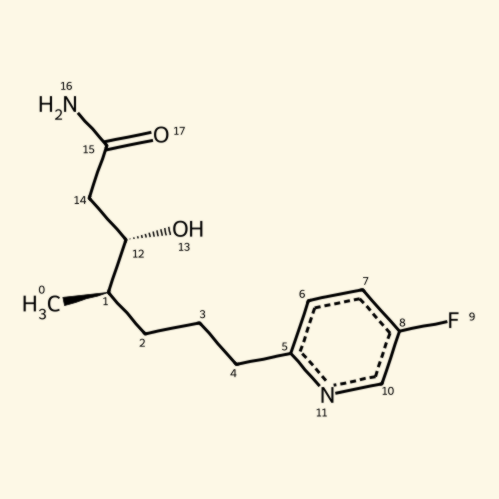 C[C@H](CCCc1ccc(F)cn1)[C@@H](O)CC(N)=O